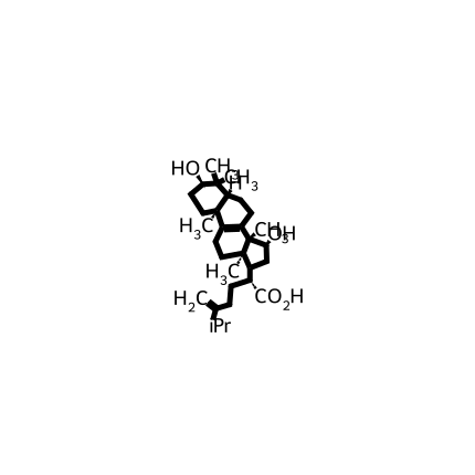 C=C(CC[C@@H](C(=O)O)C1C[C@H](O)[C@@]2(C)C3=C(CC[C@]12C)[C@@]1(C)CC[C@@H](O)C(C)(C)[C@@H]1CC3)C(C)C